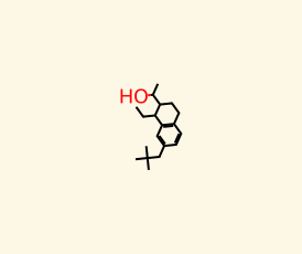 CCC1c2cc(CC(C)(C)C)ccc2CCC1C(C)O